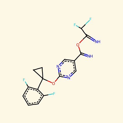 N=C(OC(=N)C(F)F)c1cnc(OC2(c3c(F)cccc3F)CC2)nc1